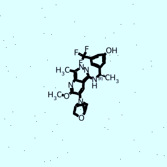 COc1nc2c(C)nnc(N[C@H](C)c3cc(O)cc(C(F)(F)F)c3)c2cc1N1CC2CC1CO2